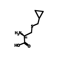 N[C@@H](CSCC1CC1)C(=O)O